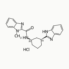 Cl.Cn1c(C(=O)N[C@@H]2CCC[C@H](c3nc4ccccc4[nH]3)C2)nc2ccccc21